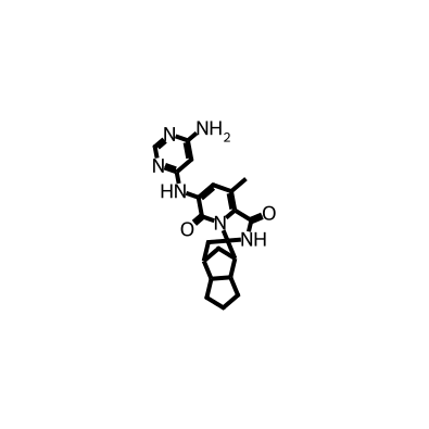 Cc1cc(Nc2cc(N)ncn2)c(=O)n2c1C(=O)NC21CC2CC1C1CCCC21